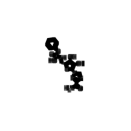 NC(=O)c1ncn([C@@H]2O[C@H](CNP(=O)(O)Oc3ccccc3)[C@@H](O)[C@H]2O)n1